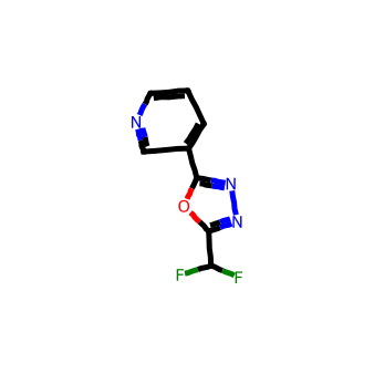 FC(F)c1nnc(-c2cccnc2)o1